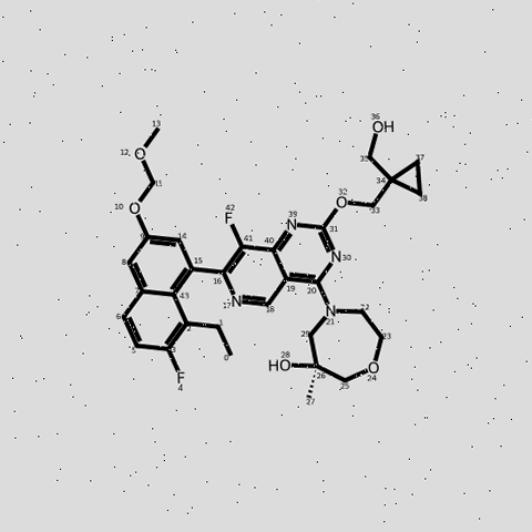 CCc1c(F)ccc2cc(OCOC)cc(-c3ncc4c(N5CCOC[C@@](C)(O)C5)nc(OCC5(CO)CC5)nc4c3F)c12